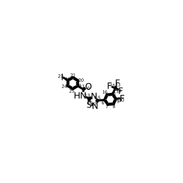 O=C(Nc1nc(-c2ccc(F)c(C(F)(F)F)c2)ns1)c1ccc(I)cc1